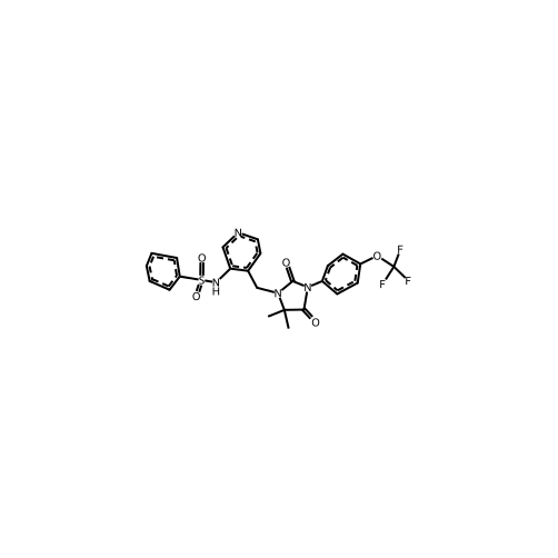 CC1(C)C(=O)N(c2ccc(OC(F)(F)F)cc2)C(=O)N1Cc1ccncc1NS(=O)(=O)c1ccccc1